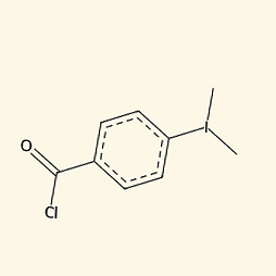 CI(C)c1ccc(C(=O)Cl)cc1